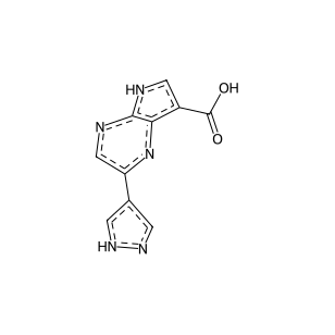 O=C(O)c1c[nH]c2ncc(-c3cn[nH]c3)nc12